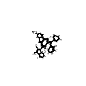 CCc1ccc2c(c1)[C]=c1c-2cc(=C(c2ccccc2)c2ccccc2)c(CC)c1C1C(C)=C(C)c2ccccc21